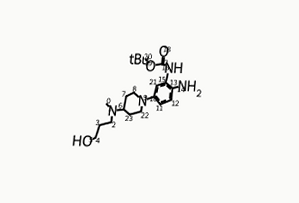 CN(CCCO)C1CCN(c2ccc(N)c(NC(=O)OC(C)(C)C)c2)CC1